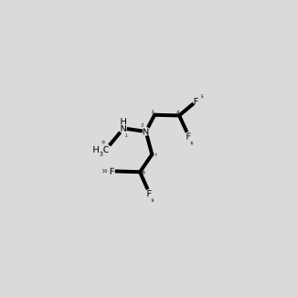 CNN(CC(F)F)CC(F)F